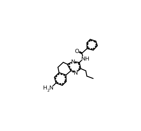 CCCc1nc2c(nc1NC(=O)c1ccccc1)CCc1cc(N)ccc1-2